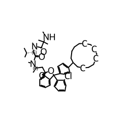 CNC(C)(C)C(=O)N(C)[C@H](C(=O)N(C)[C@H](C)CC(=O)OC(c1ccccc1)(c1ccc(C2CCCCCCCCCCCCC2)cc1)c1ccccc1Cl)C(C)C